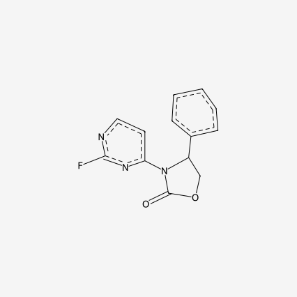 O=C1OCC(c2ccccc2)N1c1ccnc(F)n1